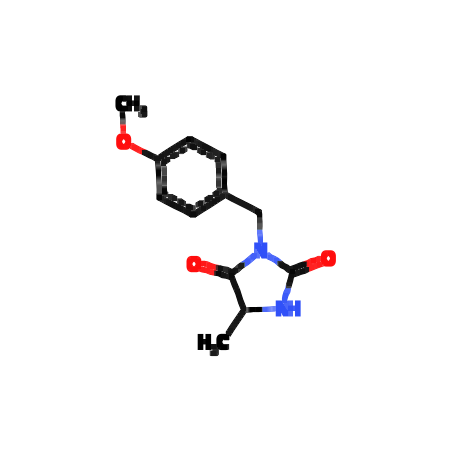 COc1ccc(CN2C(=O)NC(C)C2=O)cc1